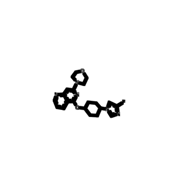 Fc1cn(C2CCC(Oc3nc(N4CCOCC4)cc4ncccc34)CC2)cn1